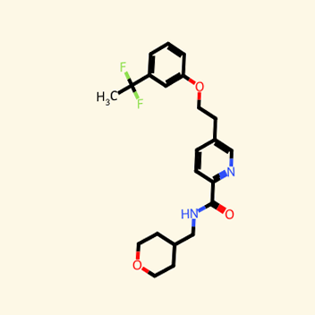 CC(F)(F)c1cccc(OCCc2ccc(C(=O)NCC3CCOCC3)nc2)c1